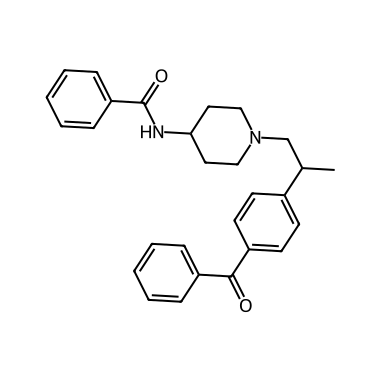 CC(CN1CCC(NC(=O)c2ccccc2)CC1)c1ccc(C(=O)c2ccccc2)cc1